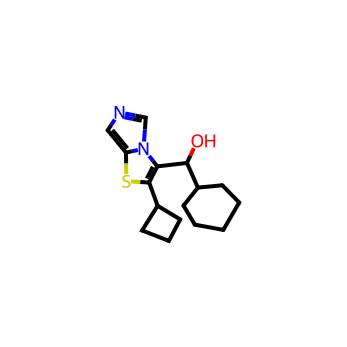 OC(c1c(C2CCC2)sc2cncn12)C1CCCCC1